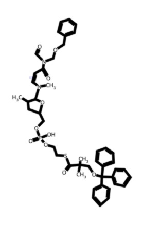 CC1CC(COP(=O)(O)OCCSC(=O)C(C)(C)COC(c2ccccc2)(c2ccccc2)c2ccccc2)OC1N(C)/C=C\C(=O)N(C=O)COCc1ccccc1